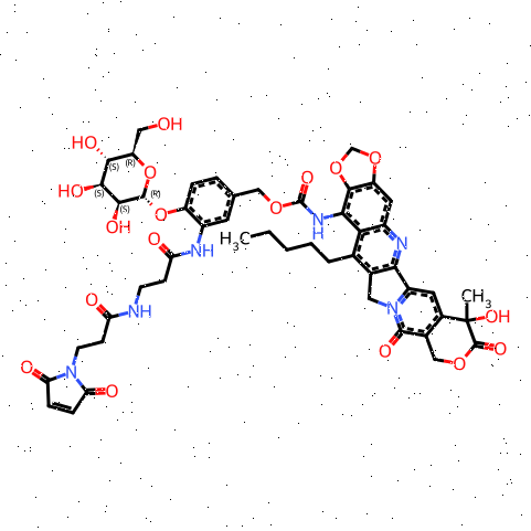 CCCCCc1c2c(nc3cc4c(c(NC(=O)OCc5ccc(O[C@H]6O[C@H](CO)[C@@H](O)[C@H](O)[C@@H]6O)c(NC(=O)CCNC(=O)CCN6C(=O)C=CC6=O)c5)c13)OCO4)-c1cc3c(c(=O)n1C2)COC(=O)C3(C)O